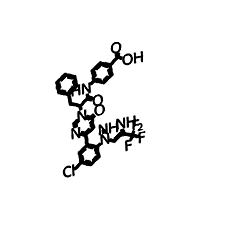 N/C(=C\N(N)c1ccc(Cl)cc1-c1cc(=O)n(C(Cc2ccccc2)C(=O)Nc2ccc(C(=O)O)cc2)cn1)C(F)(F)F